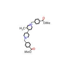 COC(=O)c1ccc(C[n+]2ccc(-c3cc[n+](Cc4ccc(C(=O)OC)cc4)cc3C)cc2)cc1